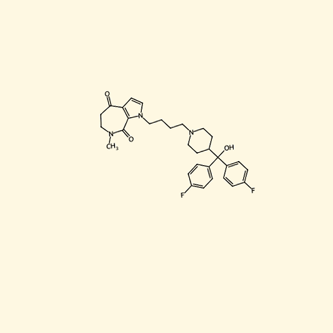 CN1CCC(=O)c2ccn(CCCCN3CCC(C(O)(c4ccc(F)cc4)c4ccc(F)cc4)CC3)c2C1=O